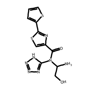 NC(CO)N(C(=O)c1csc(-c2cccs2)n1)c1nnn[nH]1